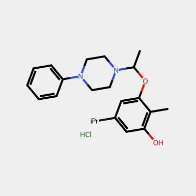 Cc1c(O)cc(C(C)C)cc1OC(C)N1CCN(c2ccccc2)CC1.Cl